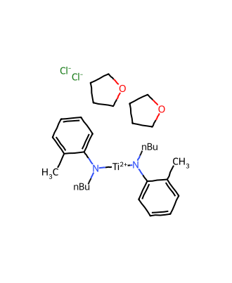 C1CCOC1.C1CCOC1.CCCC[N]([Ti+2][N](CCCC)c1ccccc1C)c1ccccc1C.[Cl-].[Cl-]